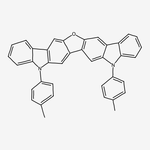 Cc1ccc(-n2c3ccccc3c3cc4oc5cc6c7ccccc7n(-c7ccc(C)cc7)c6cc5c4cc32)cc1